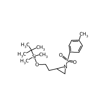 Cc1ccc(S(=O)(=O)N2CC2CCO[Si](C)(C)C(C)(C)C)cc1